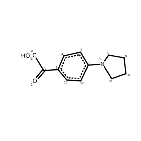 O=C(O)C(=O)c1ccc(N2CCCC2)cc1